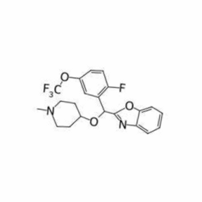 CN1CCC(OC(c2nc3ccccc3o2)c2cc(OC(F)(F)F)ccc2F)CC1